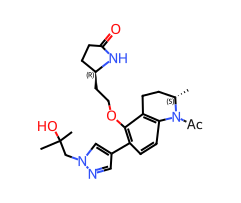 CC(=O)N1c2ccc(-c3cnn(CC(C)(C)O)c3)c(OCC[C@H]3CCC(=O)N3)c2CC[C@@H]1C